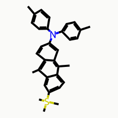 Cc1ccc(N(c2ccc(C)cc2)c2ccc3c(C)c4cc(S(C)(C)C)ccc4c(C)c3c2)cc1